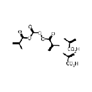 C=C(C)C(=O)O.C=C(C)C(=O)O.C=C(C)C(=O)OOC(=O)OC(=O)C(=C)C